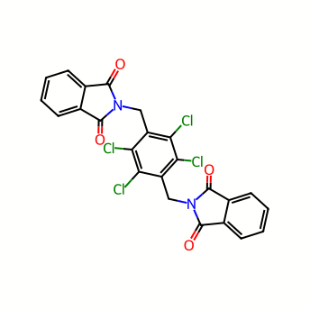 O=C1c2ccccc2C(=O)N1Cc1c(Cl)c(Cl)c(CN2C(=O)c3ccccc3C2=O)c(Cl)c1Cl